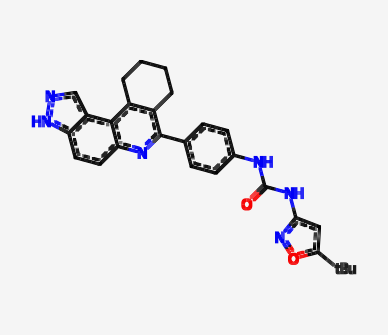 CC(C)(C)c1cc(NC(=O)Nc2ccc(-c3nc4ccc5[nH]ncc5c4c4c3CCCC4)cc2)no1